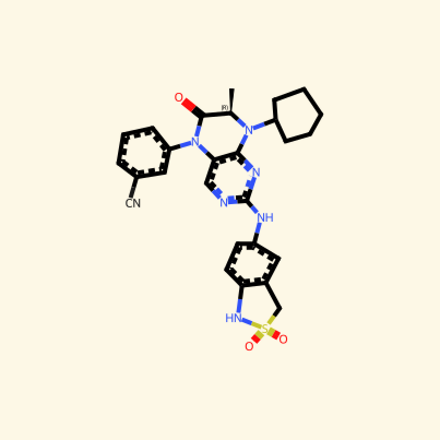 C[C@@H]1C(=O)N(c2cccc(C#N)c2)c2cnc(Nc3ccc4c(c3)CS(=O)(=O)N4)nc2N1C1CCCCC1